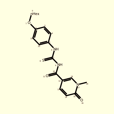 CCCCCCOc1ccc(NC(=S)NC(=O)c2ccc(=O)n(C)c2)cc1